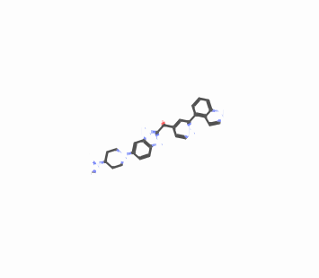 CN(C)C1CCN(c2ccc3nc(C(=O)c4ccnc(-c5cccc6[nH]ccc56)c4)[nH]c3c2)CC1